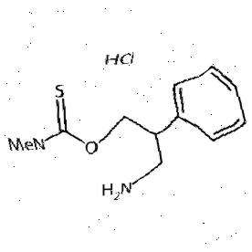 CNC(=S)OCC(CN)c1ccccc1.Cl